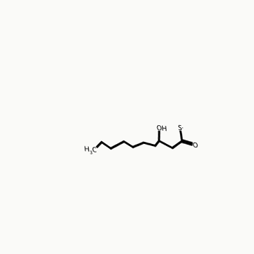 CCCCCCCC(O)CC(=O)[S]